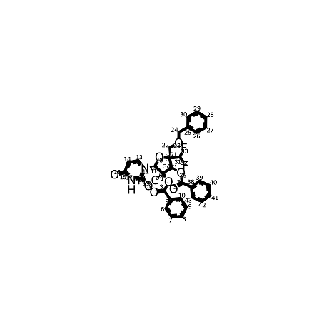 C[C@]1(OC(=O)c2ccccc2)[C@H](n2ccc(=O)[nH]c2=O)O[C@](COCc2ccccc2)(C(F)F)[C@H]1OC(=O)c1ccccc1